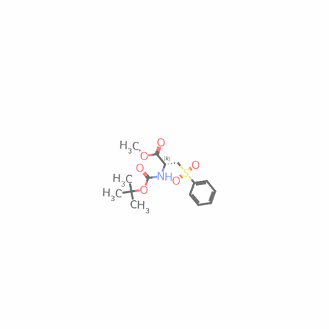 COC(=O)[C@H](CS(=O)(=O)c1ccccc1)NC(=O)OC(C)(C)C